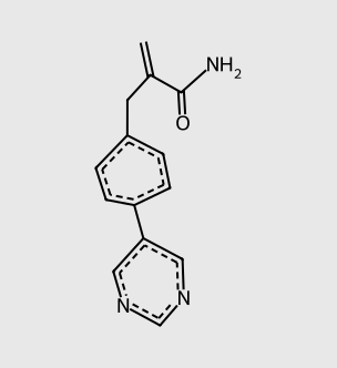 C=C(Cc1ccc(-c2cncnc2)cc1)C(N)=O